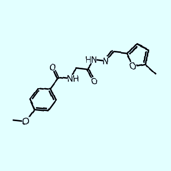 COc1ccc(C(=O)NCC(=O)N/N=C/c2ccc(C)o2)cc1